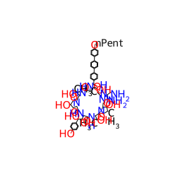 CCCCCOc1ccc(-c2ccc(-c3ccc(C(=O)N[C@H]4C[C@@H](O)C(NC(CN)CN)NC(=O)C5[C@@H](O)[C@@H](C)CN5C(=O)C([C@@H](C)O)NC(=O)C([C@H](O)[C@@H](O)c5ccc(O)cc5)NC(=O)C5C[C@@H](O)CN5C(=O)C([C@@H](C)O)NC4=O)cc3)cc2)cc1